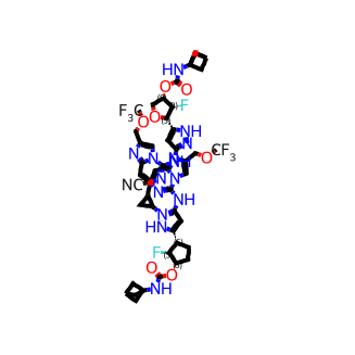 N#Cc1cc2nc(COC(F)(F)F)cn2c(Nc2cc([C@@H]3CC[C@H](OC(=O)NC45CC(C4)C5)[C@H]3F)[nH][n+]2C2CC2c2cc3nc(COC(F)(F)F)cn3c(Nc3cc([C@@H]4OC[C@H](OC(=O)NC56CC(C5)C6)[C@@H]4F)[nH]n3)n2)n1